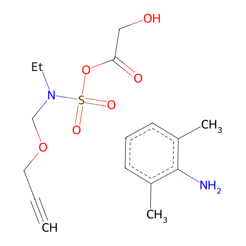 C#CCOCN(CC)S(=O)(=O)OC(=O)CO.Cc1cccc(C)c1N